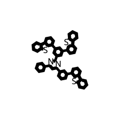 c1ccc(-c2cc(-c3cccc(-c4cccc5c4sc4ccccc45)c3)nc(-c3cc(-c4cccc5c4sc4ccccc45)cc(-c4cccc5c4sc4ccccc45)c3)n2)cc1